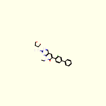 CCn1c(=O)c(-c2ccc(-c3ccccc3)cc2Cl)cc2cnc(N[C@@H]3CCOC3)nc21